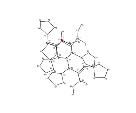 CCN(C)C(=NC1CCCC1)[N](C1CCCC1)[Y]([N](C(=NC1CCCC1)N(C)CC)C1CCCC1)[N](C(=NC1CCCC1)N(C)CC)C1CCCC1